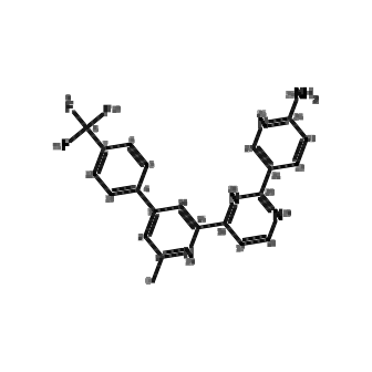 Cc1cc(-c2ccc(C(F)(F)F)cc2)cc(-c2ccnc(-c3ccc(N)nc3)n2)n1